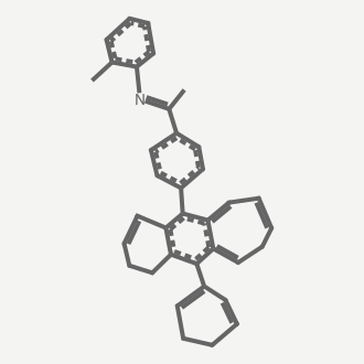 C/C(=N\c1ccccc1C)c1ccc(-c2c3c(c(C4=CCCC=C4)c4c2=CC=CCC=4)CCC=C3)cc1